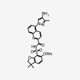 COc1ccc2c(c1S(=O)(=O)NC(=O)c1ccc3c(-n4cc(N)c(C)n4)cccc3n1)OCC2(C)C